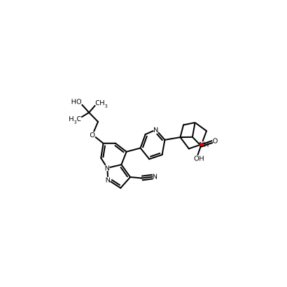 CC(C)(O)COc1cc(-c2ccc(C34CNCC(C3)C4C(=O)O)nc2)c2c(C#N)cnn2c1